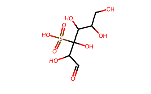 O=CC(O)C(O)(C(O)C(O)CO)S(=O)(=O)O